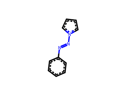 c1ccc(N=Nn2cccc2)cc1